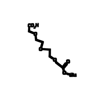 CC(C)(C)OC(=O)COCCOCCOCC(=O)O